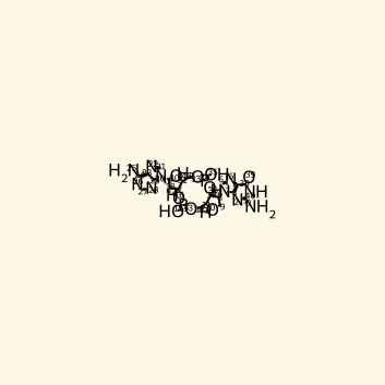 Nc1nc2c(ncn2[C@@H]2CO[C@@H]3COP(O)O[C@H]4C[C@H](n5cnc6c(N)ncnc65)O[C@@H]4COP(O)O[C@@H]23)c(=O)[nH]1